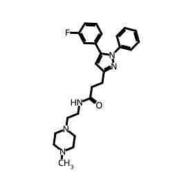 CN1CCN(CCNC(=O)CCc2cc(-c3cccc(F)c3)n(-c3ccccc3)n2)CC1